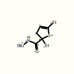 CCC1=CCC(CC)(C(=O)NC(C)(C)C)S1